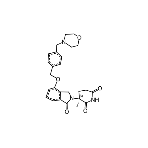 C[C@]1(N2Cc3c(OCc4ccc(CN5CCOCC5)cc4)cccc3C2=O)CCC(=O)NC1=O